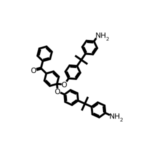 CC(C)(c1ccc(N)cc1)c1ccc(OC2(Oc3ccc(C(C)(C)c4ccc(N)cc4)cc3)C=CC(C(=O)c3ccccc3)C=C2)cc1